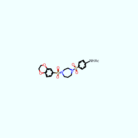 CC(=O)Nc1ccc(S(=O)(=O)N2CCCN(S(=O)(=O)c3ccc4c(c3)OCCO4)CC2)cc1